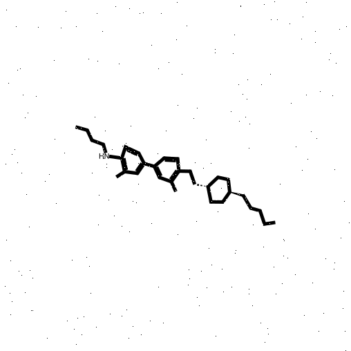 CCCCC[C@H]1CC[C@H](CCc2ccc(-c3ccc(NCCCC)c(C)c3)cc2C)CC1